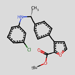 C[C@@H](Nc1cccc(Cl)c1)c1ccc(-c2ccoc2C(=O)OC(C)(C)C)cc1